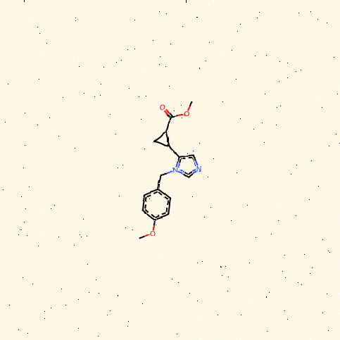 COC(=O)C1CC1c1cncn1Cc1ccc(OC)cc1